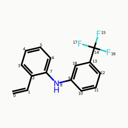 C=Cc1ccccc1Nc1cccc(C(F)(F)F)c1